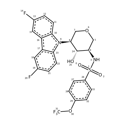 O=S(=O)(N[C@@H]1COC[C@H](n2c3ccc(F)cc3c3cc(F)ccc32)[C@H]1O)c1ccc(OC(F)(F)F)cc1